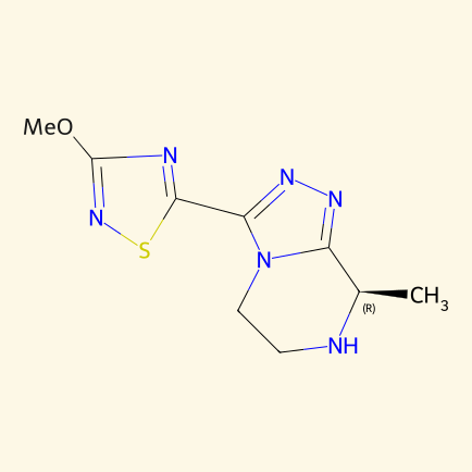 COc1nsc(-c2nnc3n2CCN[C@@H]3C)n1